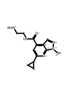 CNCCNC(=O)c1cc(C2CC2)nc2c1cnn2C(C)C